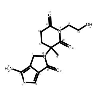 CC1(N2Cc3c(csc3N)C2=O)CCC(=O)N(CCO)C1=O